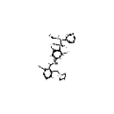 O=CON(c1cccnn1)S(=O)(=O)c1c(F)cc(NCc2c(F)cccc2CN2CCC2)cc1F